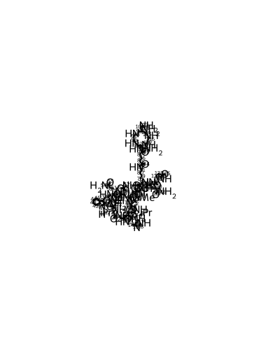 CSCC[C@H](NC(=O)[C@H](CC(C)C)NC(=O)[C@H](Cc1c[nH]cn1)NC(=O)CNC(=O)[C@@H](NC(=O)[C@H](C)NC(=O)[C@H](Cc1c[nH]c2ccccc12)NC(=O)[C@H](CCC(N)=O)NC(=O)[C@H](CC(N)=O)NC(=O)CNC(=O)[C@H](CC(C)C)NC(=O)[C@H](CCCCNC(=O)CCCC(=O)N[C@]1(CN)CNCCNC[C@@](N)(CN)CNCCN1)NC(=O)[C@H](CCC(N)=O)NC(=O)[C@@H]1CCC(=O)N1)C(C)C)C(N)=O